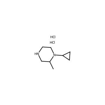 CC1CNCCN1C1CC1.Cl.Cl